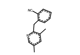 Cc1cnc(Cc2ccccc2C#N)c(C)c1